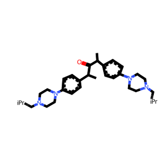 CC(C)CN1CCN(c2ccc(C(C)C(=O)C(C)c3ccc(N4CCN(CC(C)C)CC4)cc3)cc2)CC1